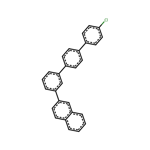 Clc1ccc(-c2ccc(-c3cccc(-c4ccc5ccccc5c4)c3)cc2)cc1